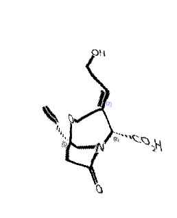 C=C[C@@]12CC(=O)N1[C@@H](C(=O)O)/C(=C/CO)O2